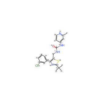 Cc1cc(NC(=O)NCc2sc(C(C)(C)C)nc2-c2cccc(Cl)c2)ccn1